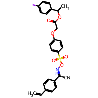 C=Cc1ccc(/C(C#N)=N/OS(=O)(=O)c2ccc(OCC(=O)OC(C)c3ccc(I)cc3)cc2)cc1